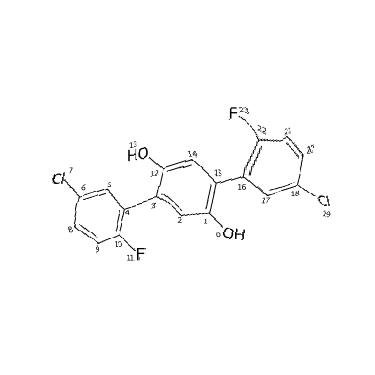 Oc1cc(-c2cc(Cl)ccc2F)c(O)cc1-c1cc(Cl)ccc1F